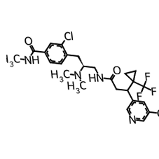 CNC(=O)c1ccc(C[C@@H](CNC(=O)CC(c2cncc(C)c2)C2(C(F)(F)F)CC2)N(C)C)c(Cl)c1